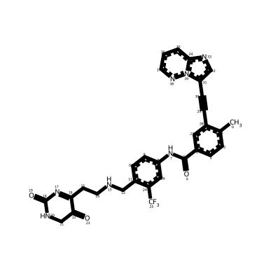 Cc1ccc(C(=O)Nc2ccc(CNCCC3=NC(=O)NCC3=O)c(C(F)(F)F)c2)cc1C#Cc1cnc2cccnn12